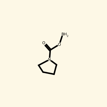 BOC(=O)N1CCCC1